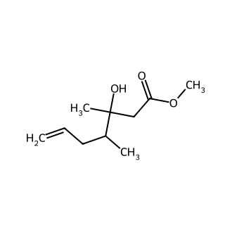 C=CCC(C)C(C)(O)CC(=O)OC